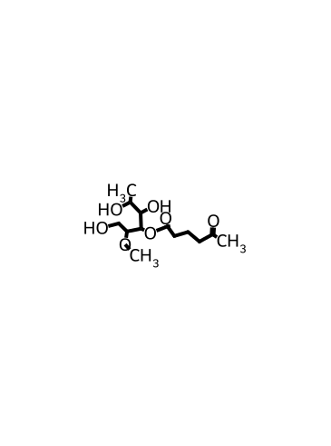 COC(CO)C(OC(=O)CCCC(C)=O)C(O)C(C)O